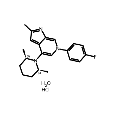 Cc1cc2c(N3[C@H](C)CCC[C@@H]3C)cn(-c3ccc(F)cc3)cc-2n1.Cl.O